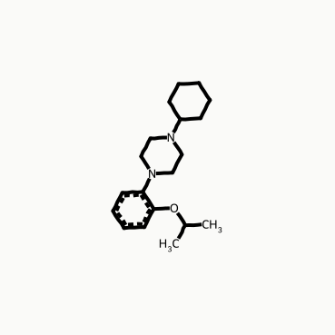 CC(C)Oc1ccccc1N1CCN(C2CCCCC2)CC1